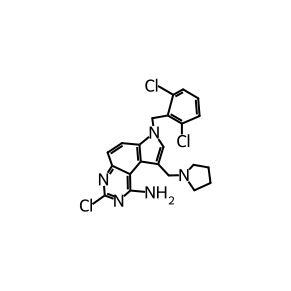 Nc1nc(Cl)nc2ccc3c(c(CN4CCCC4)cn3Cc3c(Cl)cccc3Cl)c12